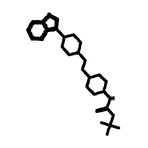 CC(C)(C)CC(=O)NC1CCC(CCN2CCC(c3coc4ccccc34)CC2)CC1